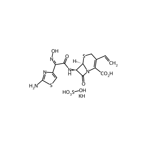 C=CC1=C(C(=O)O)N2C(=O)[C@@H](NC(=O)/C(=N\O)c3csc(N)n3)[C@H]2SC1.O=S(=O)(O)O.[KH]